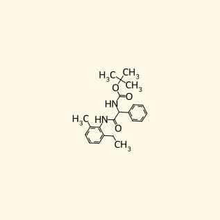 CCc1cccc(C)c1NC(=O)C(NC(=O)OC(C)(C)C)c1ccccc1